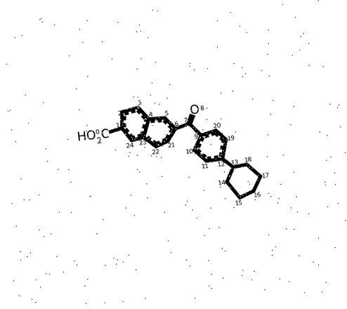 O=C(O)c1ccc2cc(C(=O)c3ccc(C4CCCCC4)cc3)ccc2c1